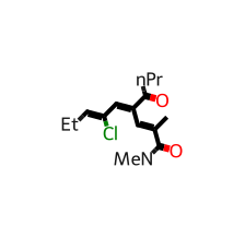 CC/C=C(Cl)/C=C(\C=C(/C)C(=O)NC)C(=O)CCC